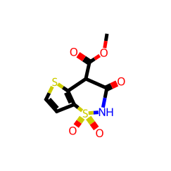 COC(=O)C1C(=O)NS(=O)(=O)c2ccsc21